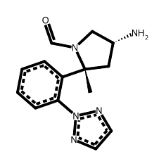 C[C@]1(c2ccccc2-n2nccn2)C[C@@H](N)CN1C=O